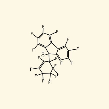 OC1(C2(F)C(F)=C(F)C(F)(F)C(F)(F)C2(F)F)c2c(F)c(F)c(F)c(F)c2-c2c(F)c(F)c(F)c(F)c21